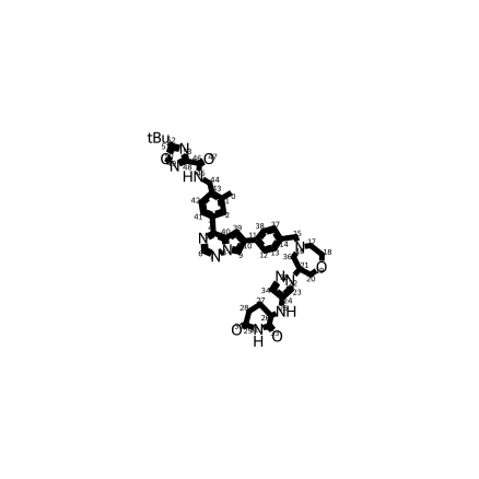 Cc1cc(-c2ncnn3cc(-c4ccc(CN5CCOCC(n6cc(NC7CCC(=O)NC7=O)cn6)C5)cc4)cc23)ccc1CNC(=O)c1noc(C(C)(C)C)n1